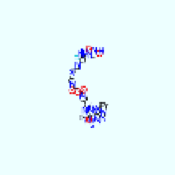 Cc1nc(-c2c(-c3nn(C(C)C)c4ncnc(N)c34)noc2C2CC2)ncc1C1CCN(C(=O)OCC(=O)N2CCC(CN3CC4(C3)CN(c3ccc5c(N6CCC(=O)NC6=O)nn(C)c5c3F)C4)CC2)CC1